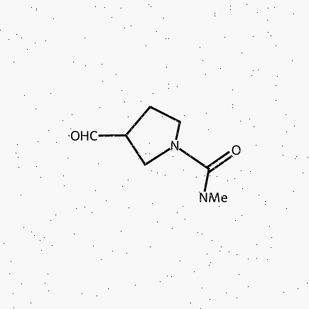 CNC(=O)N1CCC([C]=O)C1